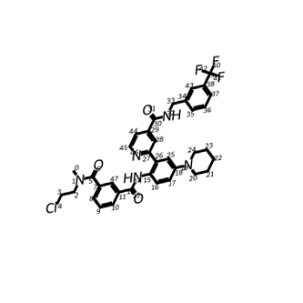 CN(CCCl)C(=O)c1cccc(C(=O)Nc2ccc(N3CCCCC3)cc2-c2cc(C(=O)NCc3cccc(C(F)(F)F)c3)ccn2)c1